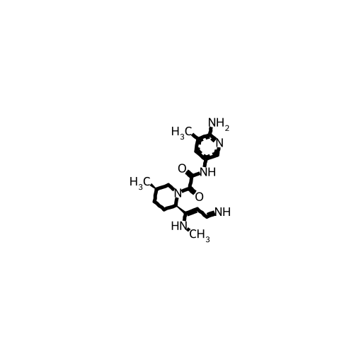 CN/C(=C\C=N)[C@H]1CC[C@@H](C)CN1C(=O)C(=O)Nc1cnc(N)c(C)c1